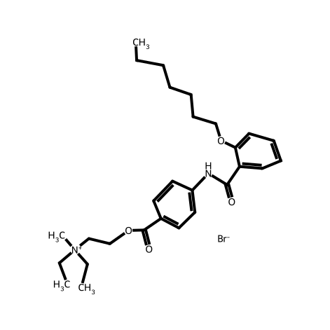 CCCCCCCOc1ccccc1C(=O)Nc1ccc(C(=O)OCC[N+](C)(CC)CC)cc1.[Br-]